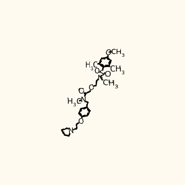 COc1cc(C)c(S(=O)(=O)N(C)CCOCC(=O)N(C)Cc2ccc(OCCN3CCCC3)cc2)c(C)c1